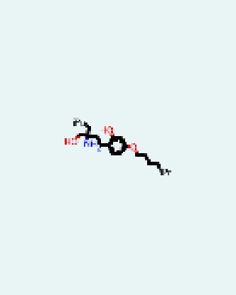 CC(C)CCCCOc1ccc(CCC(N)(CO)CC(C)C)c(O)c1